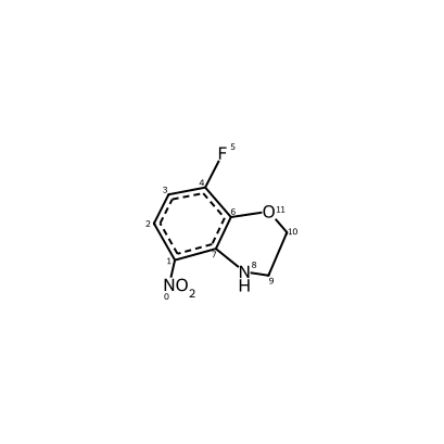 O=[N+]([O-])c1ccc(F)c2c1NCCO2